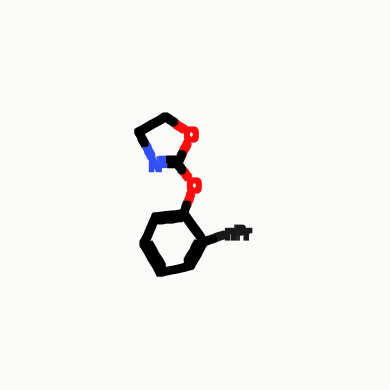 CCCc1ccccc1OC1=NCCO1